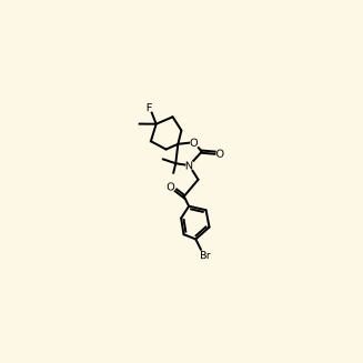 CC1(F)CCC2(CC1)OC(=O)N(CC(=O)c1ccc(Br)cc1)C2(C)C